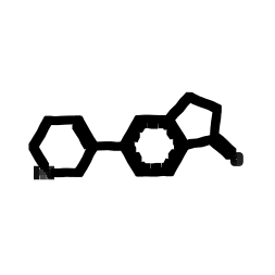 O=C1CCc2cc(C3=CCCNC3)ccc21